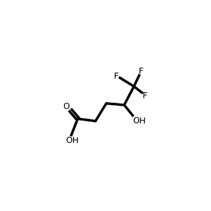 O=C(O)CCC(O)C(F)(F)F